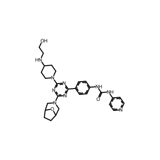 O=C(Nc1ccncc1)Nc1ccc(-c2nc(N3CCC(NCCO)CC3)nc(N3CC4CCC(C3)O4)n2)cc1